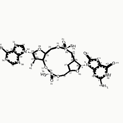 Nc1nc2c(sc(=O)n2[C@@H]2OC3CO[P@](=O)(S)OC4C(CO[P@@](=O)(S)C[C@@H]2C3)O[C@@H](n2cnc3c(N)ncnc32)[C@@H]4F)c(=O)[nH]1